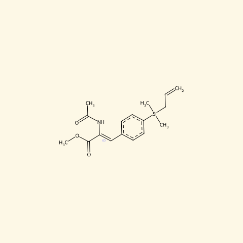 C=CC[Si](C)(C)c1ccc(/C=C(\NC(C)=O)C(=O)OC)cc1